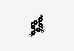 O=Cc1ccc(N(c2ccc(C=O)cc2)c2ccc(/C=C\c3ccc(N(c4ccc(C=O)cc4)c4ccc(C=O)cc4)cc3)cc2)cc1